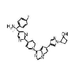 C[C@](N)(c1ccc(F)cc1)c1cnc(C2=CCN(c3ncnn4cc(-c5cnn([C@H]6CC[C@@H]6O)c5)cc34)CC2)nc1